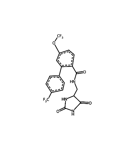 O=C1NC(=O)C(CNC(=O)c2ccc(OC(F)(F)F)cc2-c2ccc(C(F)(F)F)cc2)N1